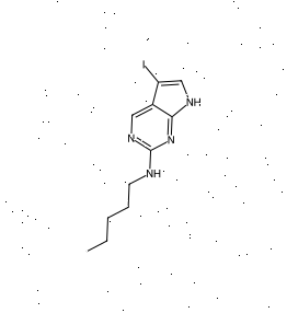 CCCCCNc1ncc2c(I)c[nH]c2n1